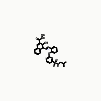 C=C(C)CNS(=O)(=O)c1ccnc(Oc2ccccc2/N=N/c2c(O)c(C(=O)NC(C)(C)C)cc3ccccc23)n1